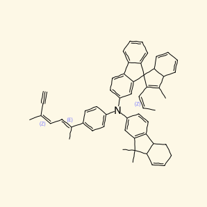 C#C/C(C)=C\C=C(/C)c1ccc(N(c2ccc3c(c2)C(C)(C)C2C=CCCC32)c2ccc3c(c2)C2(C(/C=C\C)=C(C)C4C=CC=CC42)c2ccccc2-3)cc1